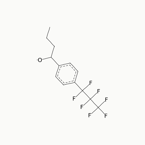 CCCC([O])c1ccc(C(F)(F)C(F)(F)C(F)(F)F)cc1